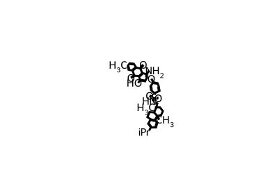 Cc1ccc2c(c1)C(=O)c1c(O)cc(OC3=CC=CC(S(=O)(=O)NCC4(C)CCCC5(C)c6ccc(C(C)C)cc6CCC45)C=C3)c(N)c1C2=O